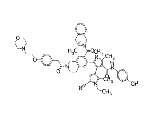 CCn1c(C#N)cc(-c2c(C(=O)Nc3ccc(O)cc3)c(C)n(C)c2-c2cc3c(cc2C(=O)N2Cc4ccccc4C[C@H]2C)CN(C(=O)Cc2ccc(OCCN4CCOCC4)cc2)CC3)c1C